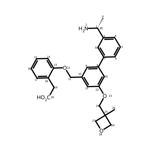 C[C@@H](N)c1cccc(-c2cc(COc3ccccc3CC(=O)O)cc(OCC3(C)COC3)c2)c1